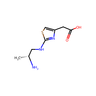 C[C@@H](N)CNc1nc(CC(=O)O)cs1